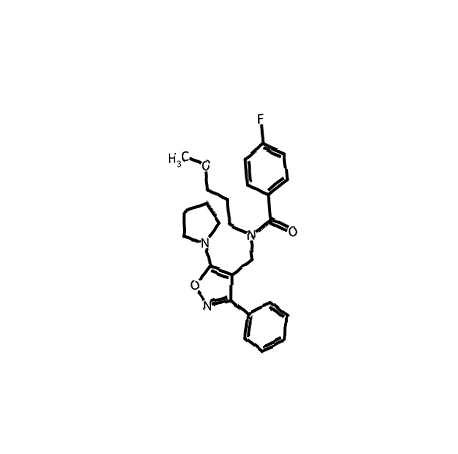 COCCCN(Cc1c(-c2ccccc2)noc1N1CCCC1)C(=O)c1ccc(F)cc1